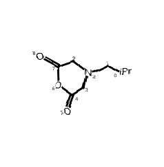 CC(C)CN1CC(=O)OC(=O)C1